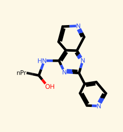 CCCC(O)Nc1nc(-c2ccncc2)nc2cnccc12